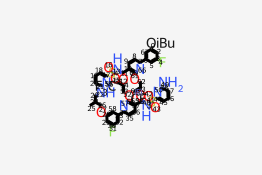 CC(C)COc1cc(F)cc(-c2ccc(C(=O)NS(=O)(=O)c3cccc(NCC(C)COc4cc(F)cc(-c5ccc(C(=O)NS(=O)(=O)c6cccc(N)n6)c(OCCCC(F)(F)F)n5)c4)n3)c(OC/C=C/C(F)(F)F)n2)c1